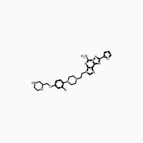 Nc1nc2c(ncn2CCN2CCN(c3ccc(OCC4CNCCO4)cc3F)CC2)c2nc(-c3ccco3)nn12